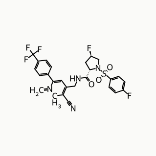 C=N/C(=C\C(CNC(=O)[C@@H]1C[C@@H](F)CN1S(=O)(=O)c1ccc(F)cc1)=C(/C)C#N)c1ccc(C(F)(F)F)cc1